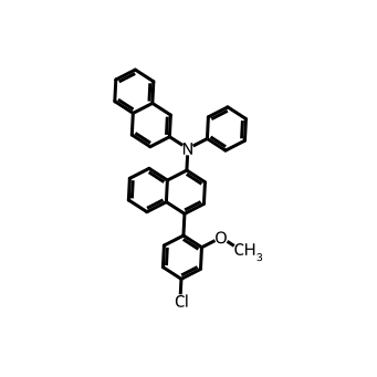 COc1cc(Cl)ccc1-c1ccc(N(c2ccccc2)c2ccc3ccccc3c2)c2ccccc12